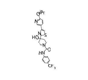 CC(C)Oc1ccc(-c2csc(C3(O)CCN(C(=O)Nc4ccc(C(F)(F)F)cc4)CC3)n2)cn1